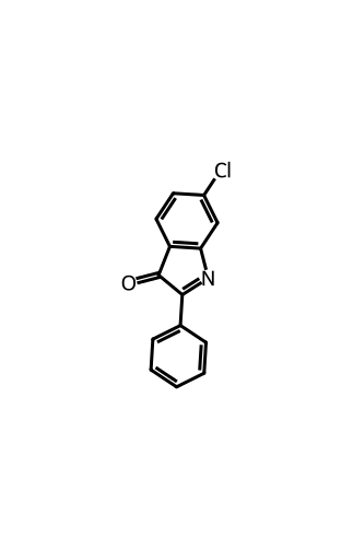 O=C1C(c2ccccc2)=Nc2cc(Cl)ccc21